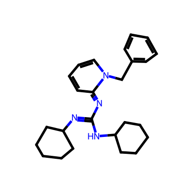 c1ccc(Cn2ccccc2=NC(=NC2CCCCC2)NC2CCCCC2)cc1